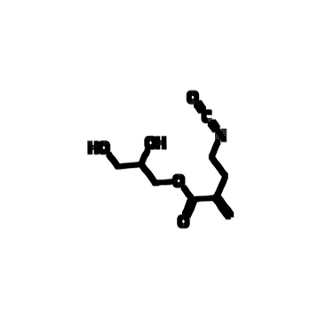 C=C(CCN=C=O)C(=O)OCC(O)CO